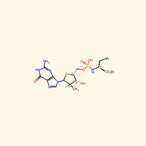 CCOC(=O)[C@H](CC(C)C)NP(=O)(O)OC[C@H]1OC(n2cnc3c(=O)[nH]c(N)nc32)[C@@](C)(F)[C@H]1O